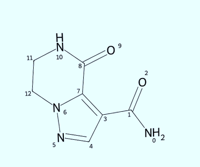 NC(=O)c1cnn2c1C(=O)NCC2